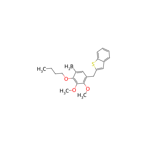 Bc1cc(Cc2cc3ccccc3s2)c(OC)c(OC)c1OCCCC